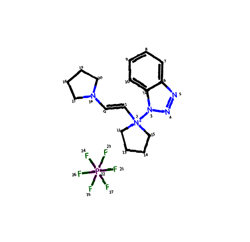 C(=C[N+]1(n2nnc3ccccc32)CCCC1)N1CCCC1.F[P-](F)(F)(F)(F)F